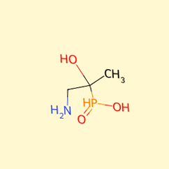 CC(O)(CN)[PH](=O)O